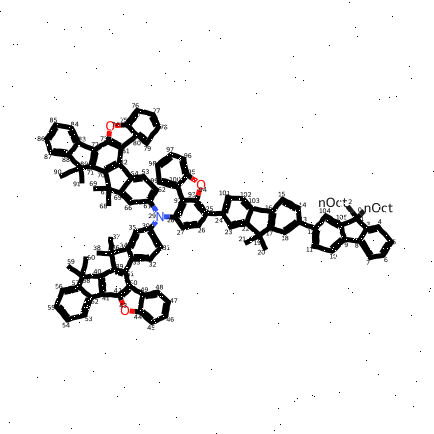 CCCCCCCCC1(CCCCCCCC)c2ccccc2-c2ccc(-c3ccc4c(c3)C(C)(C)c3cc(-c5ccc(N(c6ccc7c(c6)C(C)(C)c6c8c(c9oc%10ccccc%10c9c6-7)-c6ccccc6C8(C)C)c6ccc7c(c6)C(C)(C)c6c8c(c9oc%10ccccc%10c9c6-7)-c6ccccc6C8(C)C)c6c5oc5ccccc56)ccc3-4)cc21